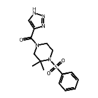 CC1(C)CN(C(=O)c2c[nH]nn2)CCN1S(=O)(=O)c1ccccc1